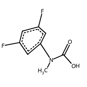 CN(C(=O)O)c1cc(F)cc(F)c1